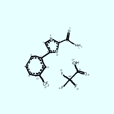 NC(=O)c1ncc(-c2cccc(C(F)(F)F)c2)o1.O=C(O)C(F)(F)F